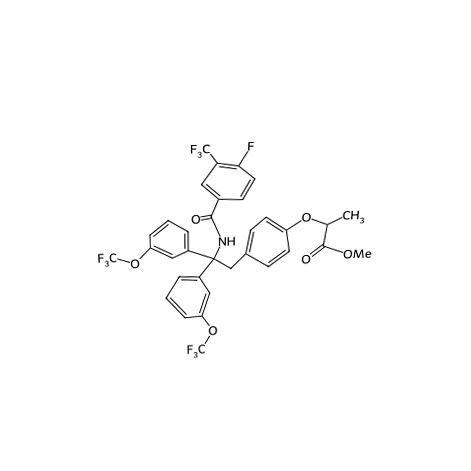 COC(=O)C(C)Oc1ccc(CC(NC(=O)c2ccc(F)c(C(F)(F)F)c2)(c2cccc(OC(F)(F)F)c2)c2cccc(OC(F)(F)F)c2)cc1